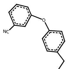 N#Cc1cccc(Oc2ccc(CI)cc2)c1